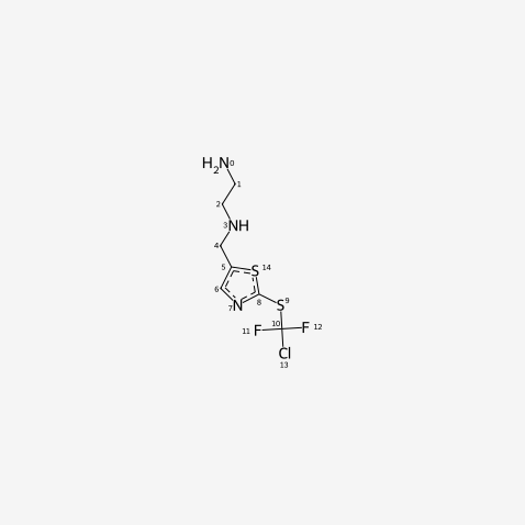 NCCNCc1cnc(SC(F)(F)Cl)s1